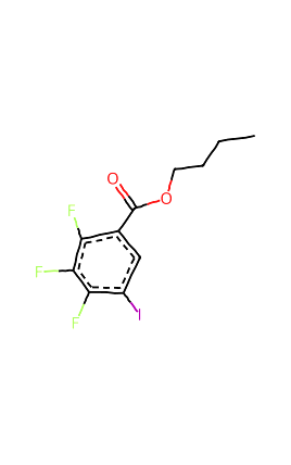 CCCCOC(=O)c1cc(I)c(F)c(F)c1F